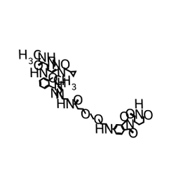 CNC(=O)c1nnc(NC(=O)C2CC2)cc1Nc1cccc(-c2ncn(CCNC(=O)CCOCCOCCNc3ccc4c(c3)C(=O)N(C3CCC(=O)NC3=O)C4=O)n2)c1OC